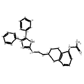 CC(=O)Oc1cccc2c1CCC(CCSc1nc(-c3ccccc3)c(-c3ccccc3)[nH]1)C2